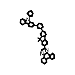 CC1(C)c2cc(-c3cccc(-c4ccc5c6ccccc6n(-c6ccccc6)c5c4)c3)ccc2-c2ccc(-c3cnc4c5ccccc5c5ccccc5c4n3)cc21